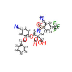 N#Cc1ccc(O[C@H]2CN([S+]([O-])c3ccc(C(F)(F)F)cc3C#N)CC2(O)CO)c(OCc2ccccc2)c1